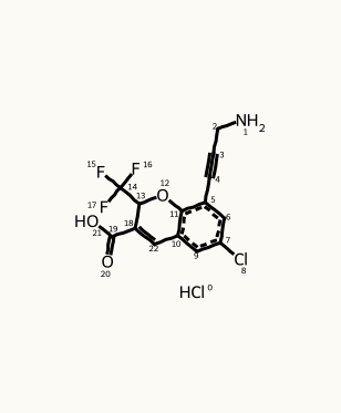 Cl.NCC#Cc1cc(Cl)cc2c1OC(C(F)(F)F)C(C(=O)O)=C2